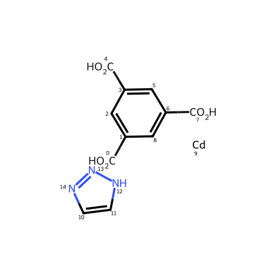 O=C(O)c1cc(C(=O)O)cc(C(=O)O)c1.[Cd].c1c[nH]nn1